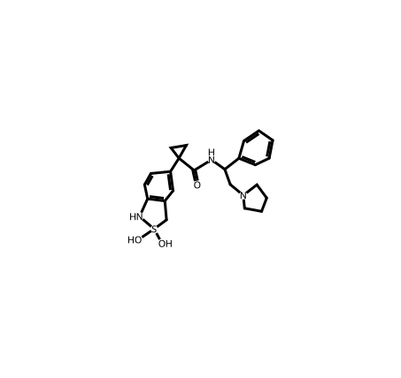 O=C(NC(CN1CCCC1)c1ccccc1)C1(c2ccc3c(c2)CS(O)(O)N3)CC1